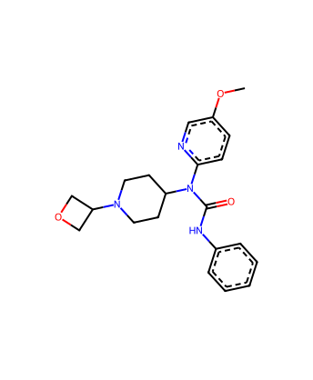 COc1ccc(N(C(=O)Nc2ccccc2)C2CCN(C3COC3)CC2)nc1